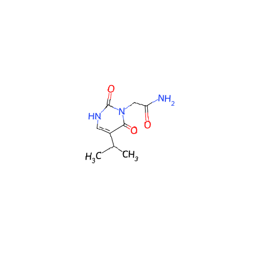 CC(C)c1c[nH]c(=O)n(CC(N)=O)c1=O